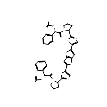 COC(=O)N[C@@H](C(=O)N1CCCC1c1ncc(-c2cc3sc(-c4cnc(C5CCCN5C(=O)[C@H](NC(=O)OC)c5ccccc5)[nH]4)cc3s2)[nH]1)c1ccccc1